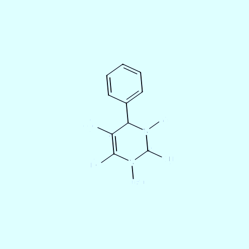 CCCCN1C(C)=C(C(=O)OCC)C(c2ccccc2)N(CCCC)C1O